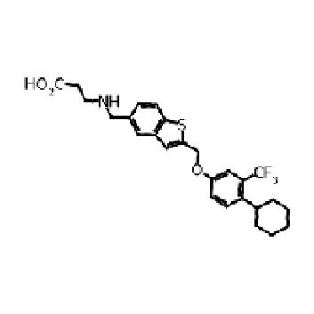 O=C(O)CCNCc1ccc2sc(COc3ccc(C4CCCCC4)c(C(F)(F)F)c3)cc2c1